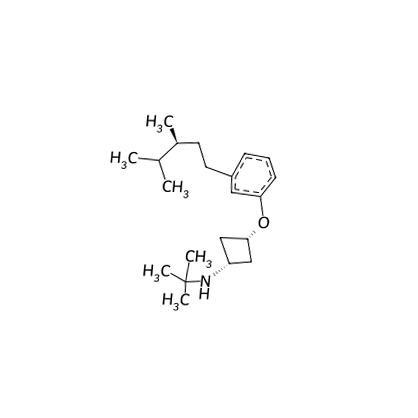 CC(C)[C@@H](C)CCc1cccc(O[C@H]2C[C@@H](NC(C)(C)C)C2)c1